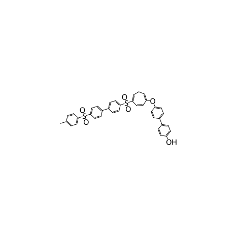 Cc1ccc(S(=O)(=O)c2ccc(-c3ccc(S(=O)(=O)C4=CCC=C(Oc5ccc(-c6ccc(O)cc6)cc5)C=C4)cc3)cc2)cc1